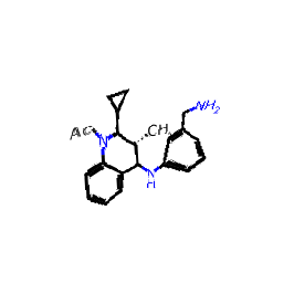 CC(=O)N1c2ccccc2C(Nc2cccc(CN)c2)[C@@H](C)C1C1CC1